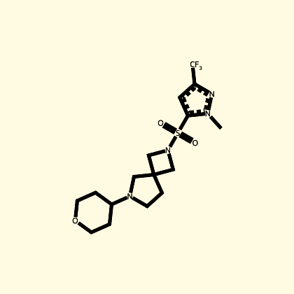 Cn1nc(C(F)(F)F)cc1S(=O)(=O)N1CC2(CCN(C3CCOCC3)C2)C1